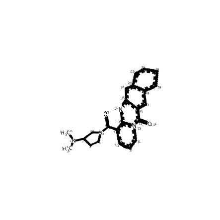 CN(C)C1CCN(C(=O)c2cccn3c(=O)c4cc5ccccc5cc4nc23)C1